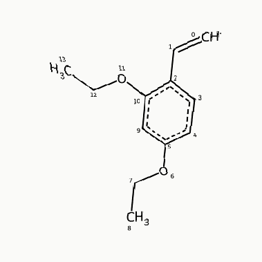 [CH]=Cc1ccc(OCC)cc1OCC